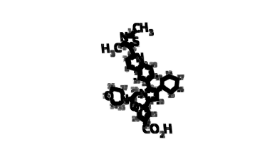 Cc1nc(C)c(-c2ccc3cc(-c4c(C5CCCCC5)cc(-c5cc(C(=O)O)co5)n4CC(=O)N4CCOCC4)ccc3n2)s1